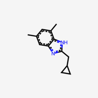 Cc1cc(C)c2[nH]c(CC3CC3)nc2c1